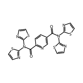 O=C(c1ccc(C(=O)N(c2nccs2)c2nccs2)nc1)N(c1nccs1)c1nccs1